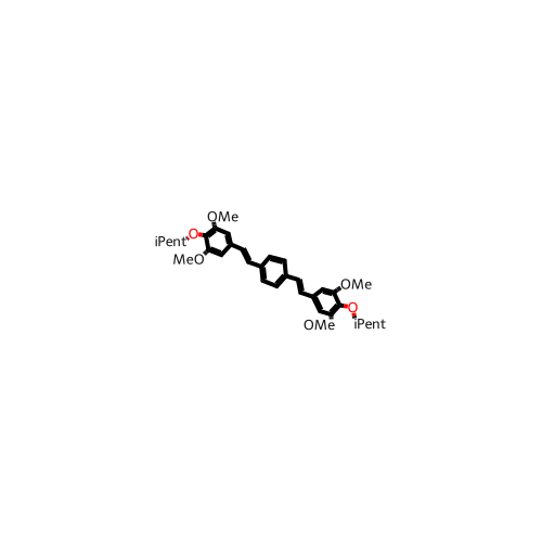 CCCC(C)Oc1c(OC)cc(/C=C/c2ccc(/C=C/c3cc(OC)c(OC(C)CCC)c(OC)c3)cc2)cc1OC